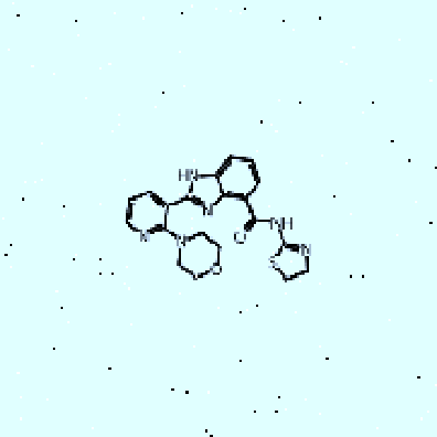 O=C(NC1=NCCS1)c1cccc2[nH]c(-c3cccnc3N3CCOCC3)nc12